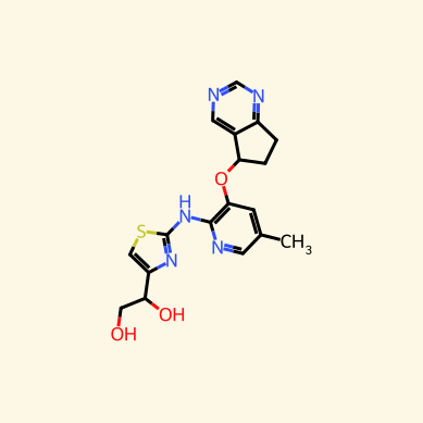 Cc1cnc(Nc2nc(C(O)CO)cs2)c(OC2CCc3ncncc32)c1